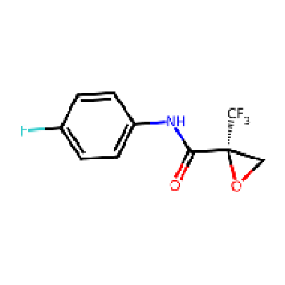 O=C(Nc1ccc(F)cc1)[C@@]1(C(F)(F)F)CO1